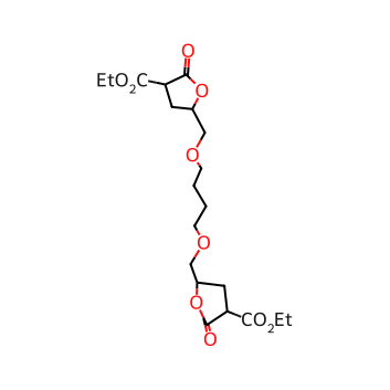 CCOC(=O)C1CC(COCCCCOCC2CC(C(=O)OCC)C(=O)O2)OC1=O